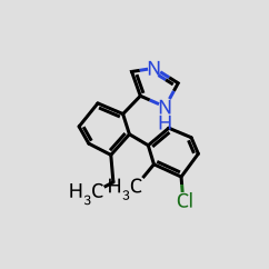 CCc1cccc(-c2cnc[nH]2)c1-c1cccc(Cl)c1C